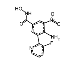 Nc1c(-c2ncccc2F)cc(C(=O)NO)cc1[N+](=O)[O-]